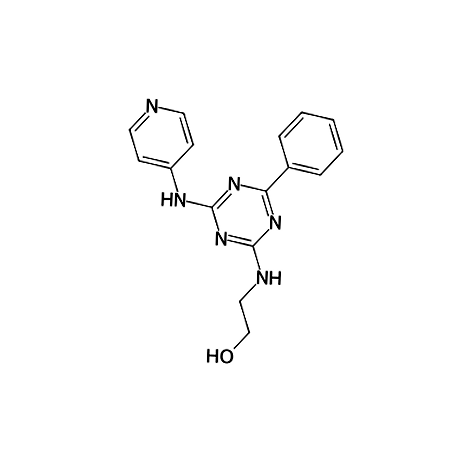 OCCNc1nc(Nc2ccncc2)nc(-c2ccccc2)n1